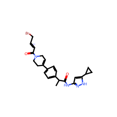 CC(C(=O)Nc1cc(C2CC2)[nH]n1)c1ccc(C2=CCN(C(=O)/C=C/CBr)CC2)cc1